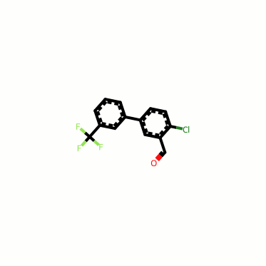 O=Cc1cc(-c2cccc(C(F)(F)F)c2)ccc1Cl